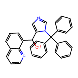 OC(c1cccc2cccnc12)c1cncn1C(c1ccccc1)(c1ccccc1)c1ccccc1